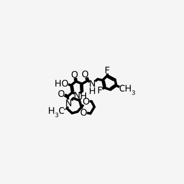 Cc1cc(F)c(CNC(=O)c2cn3c(c(O)c2=O)C(=O)N2C[C@@H]3C3(CC[C@@H]2C)OCCCO3)c(F)c1